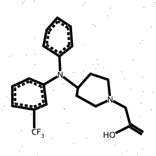 C=C(O)CN1CCC(N(c2ccccc2)c2cccc(C(F)(F)F)c2)CC1